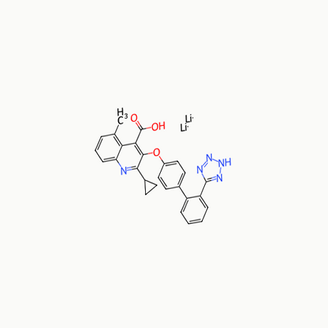 Cc1cccc2nc(C3CC3)c(Oc3ccc(-c4ccccc4-c4nn[nH]n4)cc3)c(C(=O)O)c12.[Li].[Li]